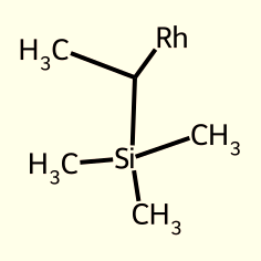 C[CH]([Rh])[Si](C)(C)C